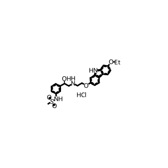 CCOc1ccc2c(c1)[nH]c1cc(OCCNC[C@H](O)c3cccc(NS(C)(=O)=O)c3)ccc12.Cl